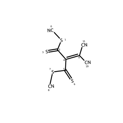 N#CSC(=S)C(C(=S)SC#N)=C(C#N)C#N